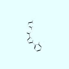 Cc1ccccc1-c1ccc(C(=O)Nc2ncc([N+](=O)[O-])s2)o1